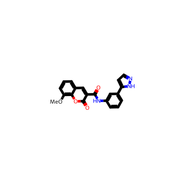 COc1cccc2cc(C(=O)Nc3cccc(-c4ccn[nH]4)c3)c(=O)oc12